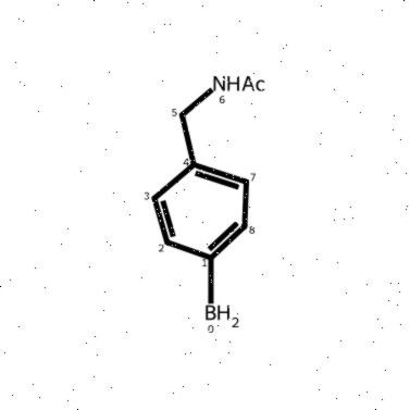 Bc1ccc(CNC(C)=O)cc1